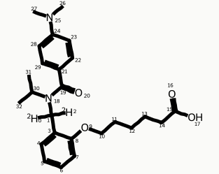 [2H]C([2H])(c1ccccc1OCCCCCC(=O)O)N(C(=O)c1ccc(N(C)C)cc1)C(C)C